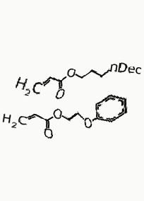 C=CC(=O)OCCCCCCCCCCCCC.C=CC(=O)OCCOc1ccccc1